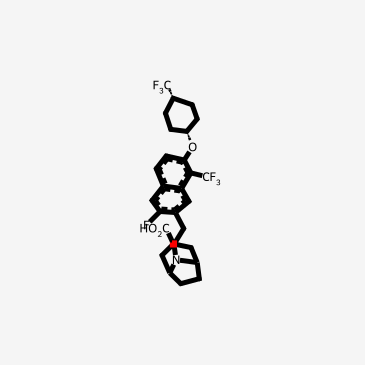 O=C(O)C1CC2CCC(C1)N2CCc1cc2c(C(F)(F)F)c(O[C@H]3CC[C@@H](C(F)(F)F)CC3)ccc2cc1F